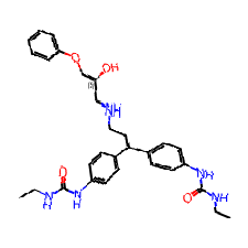 CCNC(=O)Nc1ccc(C(CCNC[C@H](O)COc2ccccc2)c2ccc(NC(=O)NCC)cc2)cc1